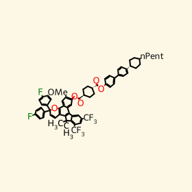 CCCCC[C@H]1CC[C@H](c2ccc(-c3ccc(OC(=O)[C@H]4CC[C@H](C(=O)Oc5cc6c7c(c8c(c6cc5OC)OC(c5ccc(F)cc5)(c5ccc(F)cc5)C=C8)C(C)(C)c5c-7cc(C(F)(F)F)cc5C(F)(F)F)CC4)cc3)cc2)CC1